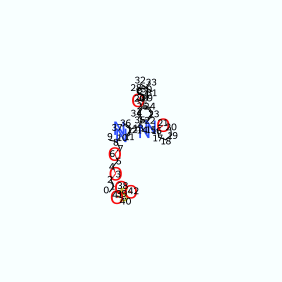 CC(COCCOCC(C)n1cc(-c2nn(C3CCCCO3)c3ccc(O[Si](C)(C)C(C)(C)C)cc23)cn1)OS(C)(=O)=O